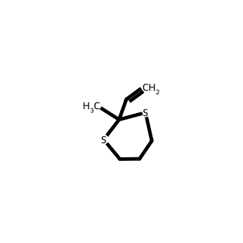 C=CC1(C)SCCCS1